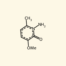 COc1ccc(C)n(N)c1=O